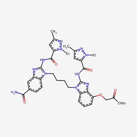 CCn1nc(C)cc1C(=O)Nc1nc2cc(C(N)=O)ccc2n1CCCCn1c(NC(=O)c2cc(C)nn2CC)nc2c(OCC(=O)OC)cccc21